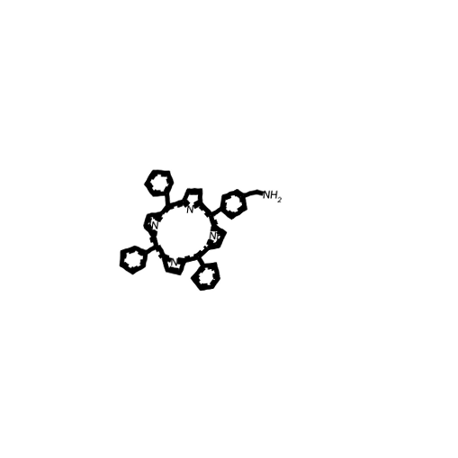 NCc1ccc(-c2c3nc(c(-c4ccccc4)c4ccc([nH]4)c(-c4ccccc4)c4nc(c(-c5ccccc5)c5ccc2[nH]5)C=C4)C=C3)cc1